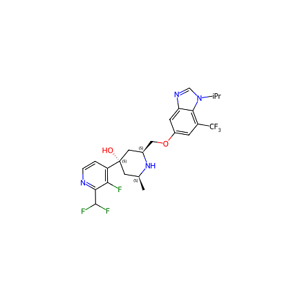 CC(C)n1cnc2cc(OC[C@@H]3C[C@](O)(c4ccnc(C(F)F)c4F)C[C@H](C)N3)cc(C(F)(F)F)c21